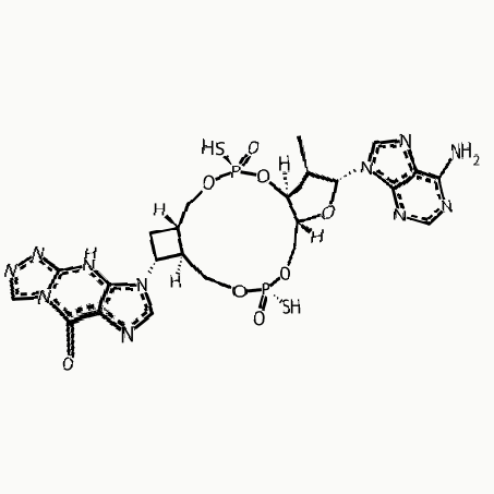 C[C@@H]1[C@@H]2O[P@](=O)(S)OC[C@H]3C[C@@H](n4cnc5c(=O)n6cnnc6[nH]c54)[C@@H]3CO[P@@](=O)(S)OC[C@H]2O[C@H]1n1cnc2c(N)ncnc21